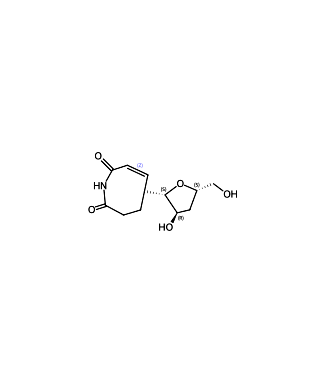 O=C1/C=C\C([C@@H]2O[C@H](CO)C[C@H]2O)CCC(=O)N1